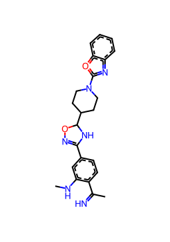 CNc1cc(C2=NOC(C3CCN(c4nc5ccccc5o4)CC3)N2)ccc1C(C)=N